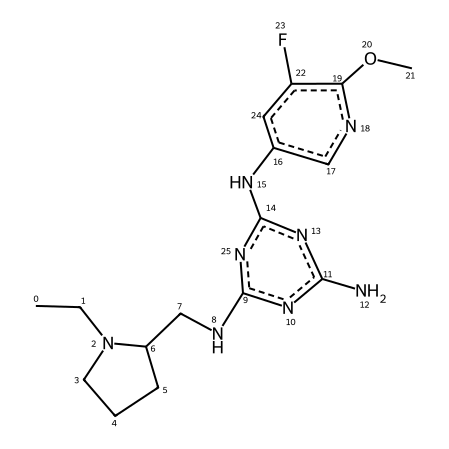 CCN1CCCC1CNc1nc(N)nc(Nc2cnc(OC)c(F)c2)n1